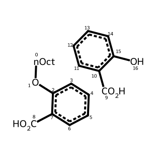 CCCCCCCCOc1ccccc1C(=O)O.O=C(O)c1ccccc1O